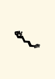 [CH2]C=CCC=CCC[CH2]